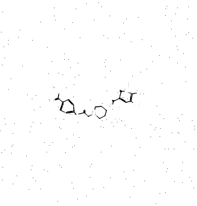 CO[C@@H]1CN(CC(=O)Nc2ccc(C(=O)OC(C)C)cc2)CC[C@@H]1NC(=O)c1cc(Cl)c(N)[nH]c1=O